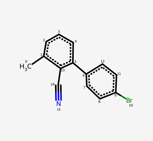 Cc1cccc(-c2ccc(Br)cc2)c1C#N